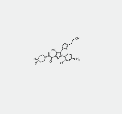 Cc1ccc(-n2nc(C(=O)NN3CCS(=O)(=O)CC3)c(C#N)c2-c2ccc(CCC#N)s2)c(Cl)c1